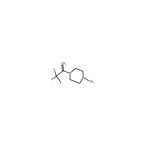 C=C(N1CCN(C)CC1)C(F)(F)F